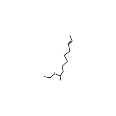 C/C=C/CCCCCC(C)SCC